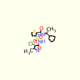 Cc1noc(NS(=O)(=O)c2ccsc2C(=O)N[C@@H](C)c2ccccc2)c1Cl